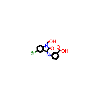 O=C(O)c1cccc(/N=C2\C(=O)N(CO)c3ccc(Br)cc32)c1